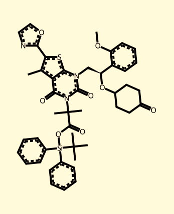 COc1ccccc1[C@H](Cn1c(=O)n(C(C)(C)C(=O)O[Si](c2ccccc2)(c2ccccc2)C(C)(C)C)c(=O)c2c(C)c(-c3ncco3)sc21)OC1CCC(=O)CC1